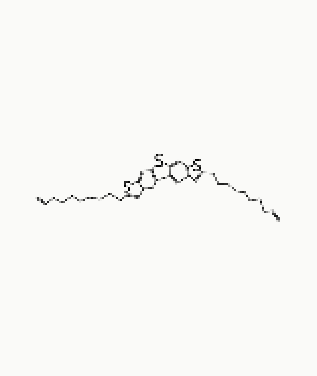 C=CCCCCCCCCc1cc2cc3c(cc2s1)sc1cc2sc(CCCCCCCCC=C)cc2cc13